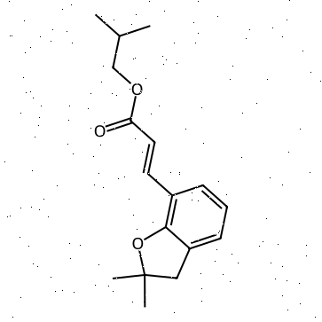 CC(C)COC(=O)/C=C/c1cccc2c1OC(C)(C)C2